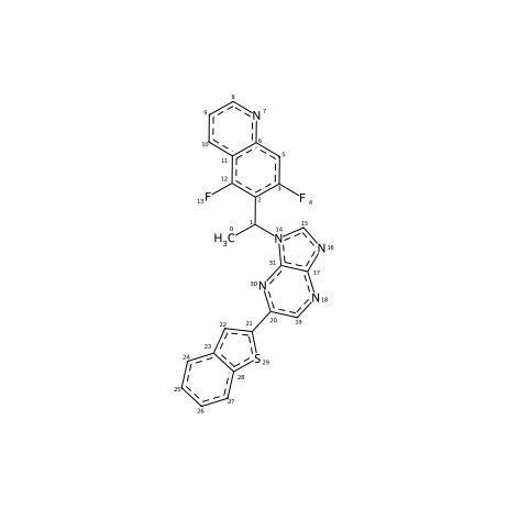 CC(c1c(F)cc2ncccc2c1F)n1cnc2ncc(-c3cc4ccccc4s3)nc21